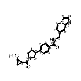 CC1CC1C(=O)N1CCC(c2ccc(C(=O)NCc3ccn4ccnc4c3)cc2)C1